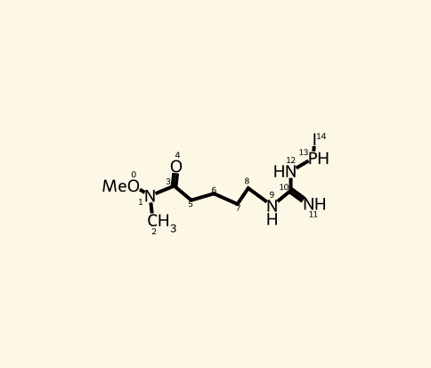 CON(C)C(=O)CCCCNC(=N)NPI